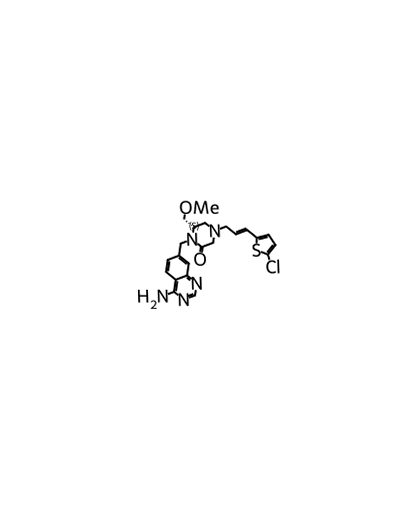 COC[C@@H]1CN(CC=Cc2ccc(Cl)s2)CC(=O)N1Cc1ccc2c(N)ncnc2c1